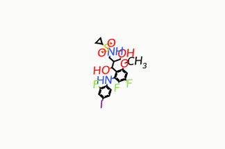 COc1cc(F)c(F)c(Nc2ccc(I)cc2F)c1C(O)C(CO)CNS(=O)(=O)C1CC1